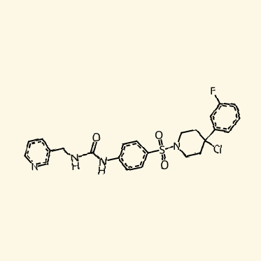 O=C(NCc1cccnc1)Nc1ccc(S(=O)(=O)N2CCC(Cl)(c3cccc(F)c3)CC2)cc1